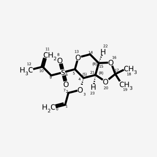 C=CCO[C@@H]1C(S(=O)(=O)CC(=C)C)OC[C@H]2OC(C)(C)O[C@@H]12